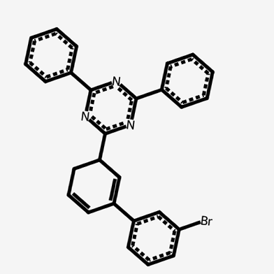 Brc1cccc(C2=CC(c3nc(-c4ccccc4)nc(-c4ccccc4)n3)CC=C2)c1